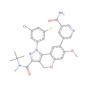 COc1cc2c(cc1-c1cncc(C(N)=O)c1)-c1c(c(C(=O)N(C)C(C)(C)C)nn1-c1cc(F)cc(Cl)c1)CO2